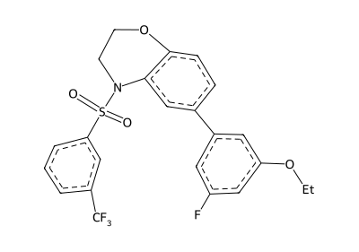 CCOc1cc(F)cc(-c2ccc3c(c2)N(S(=O)(=O)c2cccc(C(F)(F)F)c2)CCO3)c1